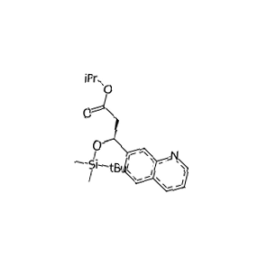 CC(C)OC(=O)C[C@H](O[Si](C)(C)C(C)(C)C)c1ccc2cccnc2c1